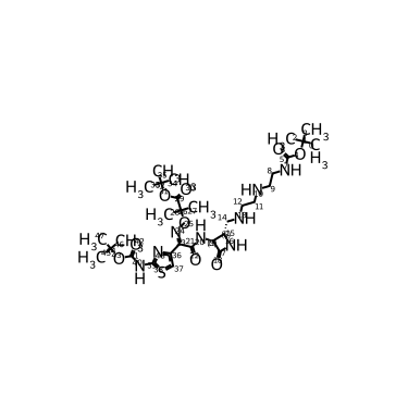 CC(C)(C)OC(=O)NCCNCCNC[C@@H]1NC(=O)[C@H]1NC(=O)C(=NOC(C)(C)C(=O)OC(C)(C)C)c1csc(NC(=O)OC(C)(C)C)n1